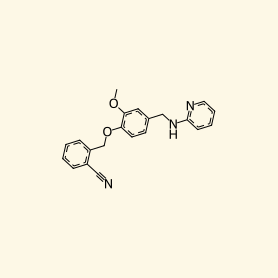 COc1cc(CNc2ccccn2)ccc1OCc1ccccc1C#N